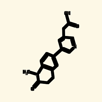 CN1C(=O)CCc2cc(-c3cncc(CC(=O)O)c3)ccc21